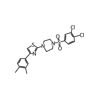 Cc1ccc(-c2csc(N3CCN(S(=O)(=O)c4ccc(Cl)c(Cl)c4)CC3)n2)cc1C